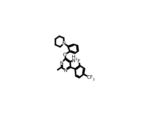 Cc1nc(Oc2ccccc2N2CCCCC2)c(N)c(-c2ccc(C(F)(F)F)cc2F)n1